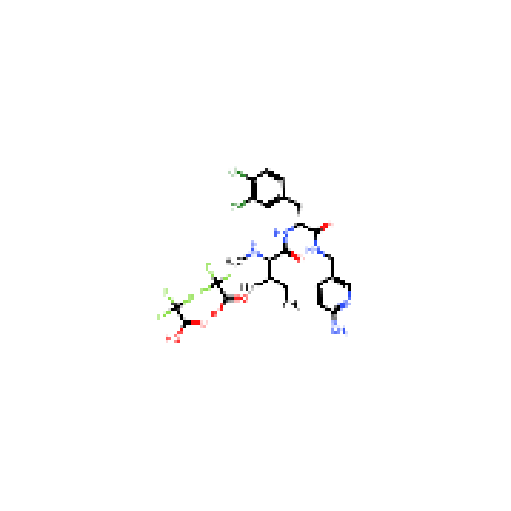 CCC(C)[C@@H](NC)C(=O)N[C@@H](Cc1ccc(Cl)c(Cl)c1)C(=O)NCc1ccc(N)nc1.O=C(O)C(F)(F)F.O=C(O)C(F)(F)F